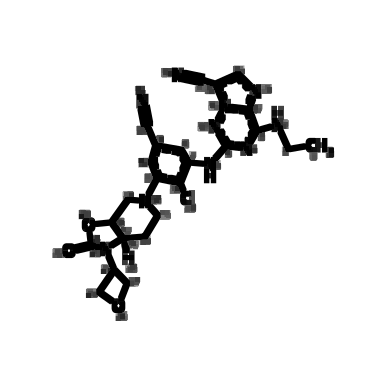 CCNc1nc(Nc2cc(C#N)cc(N3CC[C@H]4C(C3)OC(=O)N4C3COC3)c2Cl)nn2c(C#N)cnc12